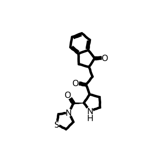 O=C1c2ccccc2CC1CC(=O)C1CCN[C@H]1C(=O)N1CCSC1